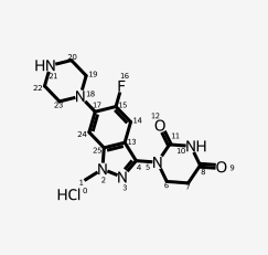 Cl.Cn1nc(N2CCC(=O)NC2=O)c2cc(F)c(N3CCNCC3)cc21